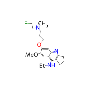 CCNc1c2c(nc3cc(OCCCN(C)CCF)c(OC)cc13)CCC2